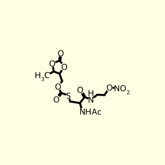 CC(=O)NC(CSC(=O)OCC1OC(=O)OC1C)C(=O)NCCO[N+](=O)[O-]